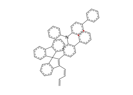 C=C/C=C\C1=C(c2ccc(-c3ccccc3)c(N(c3ccccc3)c3ccc(-c4ccccc4)cc3)c2)C2(c3ccccc31)c1ccccc1-c1ccccc12